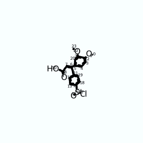 COc1ccc(C(=CC(=O)O)c2ccc([S+]([O-])Cl)cc2)cc1OC